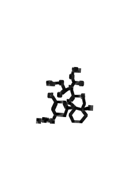 CC(C)(C)OC(=O)N(C(=O)OC(C)(C)C)C1=N[C@@]2(c3cc(Cl)cc(N=[N+]=[N-])c3)CCCC[C@H]2CS1